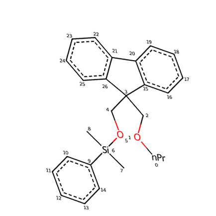 CCCOCC1(CO[Si](C)(C)c2ccccc2)c2ccccc2-c2ccccc21